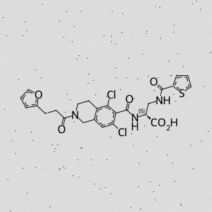 O=C(NC[C@H](NC(=O)c1c(Cl)cc2c(c1Cl)CCN(C(=O)CCc1ccco1)C2)C(=O)O)c1cccs1